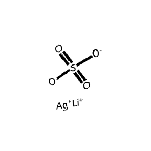 O=S(=O)([O-])[O-].[Ag+].[Li+]